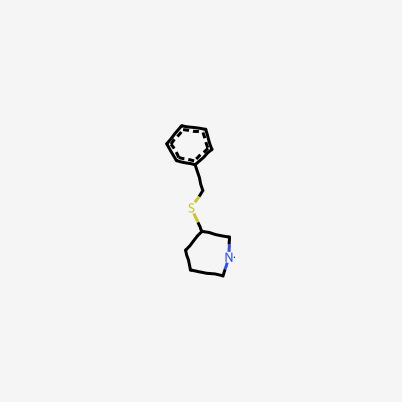 c1ccc(CSC2CCC[N]C2)cc1